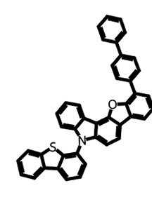 c1ccc(-c2ccc(-c3cccc4c3oc3c4ccc4c3c3ccccc3n4-c3cccc4c3sc3ccccc34)cc2)cc1